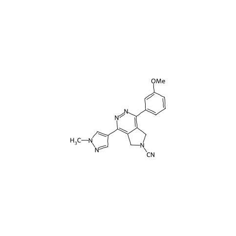 COc1cccc(-c2nnc(-c3cnn(C)c3)c3c2CN(C#N)C3)c1